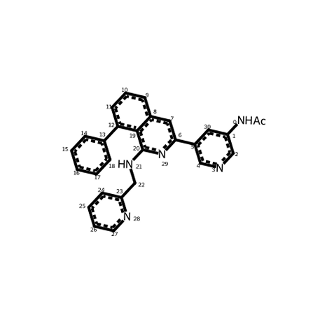 CC(=O)Nc1cncc(-c2cc3cccc(-c4ccccc4)c3c(NCc3ccccn3)n2)c1